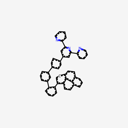 c1ccc(-c2cc(-c3ccc(-c4cccc(-c5ccccc5-c5ccc6ccc7cccc8ccc5c6c78)c4)cc3)cc(-c3ccccn3)n2)nc1